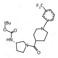 CC(C)(C)OC(=O)N[C@H]1CCN(C(=O)C2CCN(c3cccc(C(F)(F)F)c3)CC2)C1